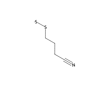 N#CCCCS[S]